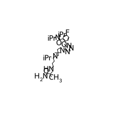 CC(C)[C@@H](CCCNC[C@@H](C)C(N)=O)N1CC2(CCN(c3ncnnc3Oc3ccc(F)cc3C(=O)N(C(C)C)C(C)C)C2)C1